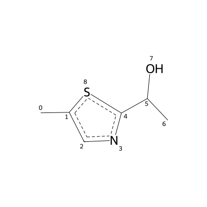 Cc1cnc(C(C)O)s1